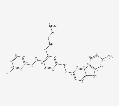 CC(=O)NCCNCc1cc(OCc2ccc3[nH]c4cc(C)ccc4c3c2)ccc1OCc1cccc(F)c1